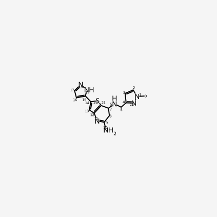 Cn1ccc(CNC2CC(N)=Nc3cc(-c4ccn[nH]4)sc32)n1